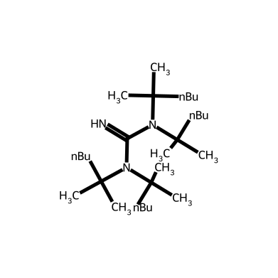 CCCCC(C)(C)N(C(=N)N(C(C)(C)CCCC)C(C)(C)CCCC)C(C)(C)CCCC